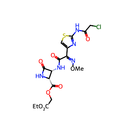 CCOC(=O)COC(=O)[C@@H]1NC(=O)[C@@H]1NC(=O)C(=NOC)c1csc(NC(=O)CCl)n1